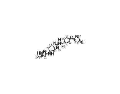 CCC(Nc1nc2ccc(Nc3cc(C(C)C)[nH]n3)cc2n1C)c1ccc(Oc2ncc(Cl)cn2)cc1